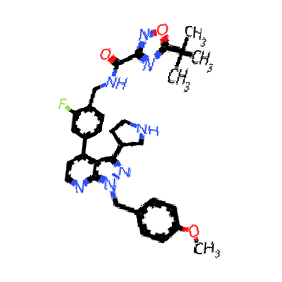 COc1ccc(Cn2nc(C3CCNC3)c3c(-c4ccc(CNC(=O)c5noc(C(C)(C)C)n5)c(F)c4)ccnc32)cc1